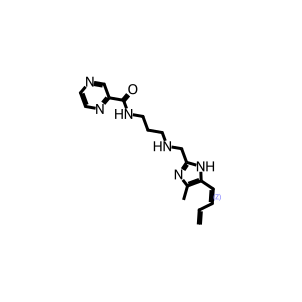 C=C/C=C\c1[nH]c(CNCCCNC(=O)c2cnccn2)nc1C